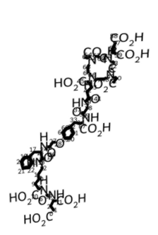 O=C(O)CCC(NC(=O)NC(CCCCNC(=O)C(Cc1ccccc1)NC(=O)COc1ccc(CC(NC(=O)CNC(=O)CCC(C(=O)O)N2CCN(CC(=O)O)CCN(C(CCC(=O)O)C(=O)O)CCN(CC(=O)O)CC2)C(=O)O)cc1)C(=O)O)C(=O)O